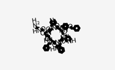 NCCNC(=O)O[C@@H]1C[C@H]2C(=O)N[C@H](CCc3ccccc3)C(=O)N[C@H](Cc3c[nH]c4ccccc34)C(=O)N[C@@H](CC3CCNCC3)C(=O)N[C@@H](Cc3ccc(OCC4CCCCC4)cc3)C(=O)N[C@@H](Cc3cccnc3)C(=O)N2C1